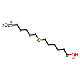 CCCCCCCCCCCCCSCCCCCCO